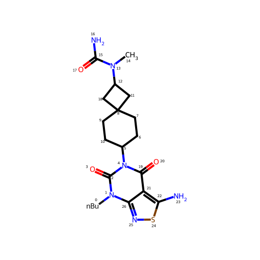 CCCCn1c(=O)n(C2CCC3(CC2)CC(N(C)C(N)=O)C3)c(=O)c2c(N)snc21